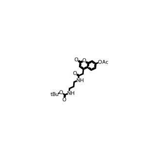 CC(=O)Oc1ccc2c(CC(=O)NCCCNC(=O)OC(C)(C)C)cc(=O)oc2c1